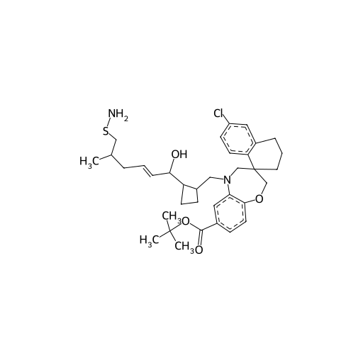 CC(C/C=C/C(O)C1CCC1CN1CC2(CCCc3cc(Cl)ccc32)COc2ccc(C(=O)OC(C)(C)C)cc21)CSN